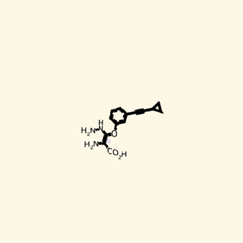 NN/C(Oc1cccc(C#CC2CC2)c1)=C(\N)C(=O)O